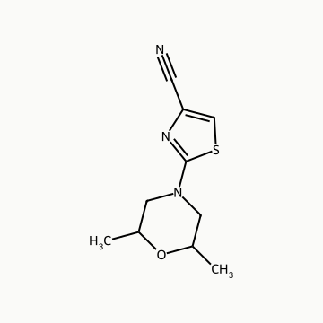 CC1CN(c2nc(C#N)cs2)CC(C)O1